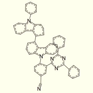 N#Cc1ccc(-n2c3ccccc3c3c(-c4cccc5c4c4ccccc4n5-c4ccccc4)cccc32)c(-c2nc(-c3ccccc3)nc(-c3ccccc3)n2)c1